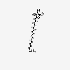 CCCCCCCCCCCCCCCC=C1SC(=O)NC1=O